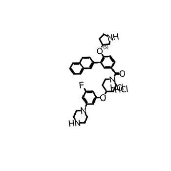 Cl.Cl.O=C(c1ccc(O[C@H]2CCNC2)c(-c2ccc3ccccc3c2)c1)N1CCC(Oc2cc(F)cc(N3CCNCC3)c2)CC1